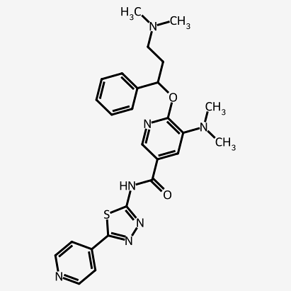 CN(C)CCC(Oc1ncc(C(=O)Nc2nnc(-c3ccncc3)s2)cc1N(C)C)c1ccccc1